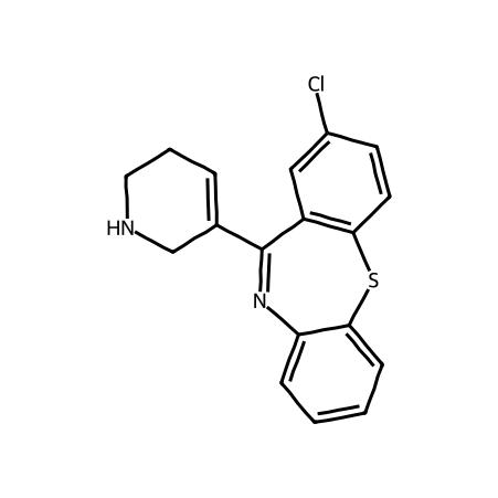 Clc1ccc2c(c1)C(C1=CCCNC1)=Nc1ccccc1S2